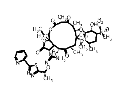 CC[C@@H]1OC(=O)[C@H](C)C(=O)[C@H](C)[C@@H](O[C@@H]2O[C@H](C)C[C@H]([N+](C)(C)[O-])[C@H]2O)[C@](C)(OC)C[C@@H](C)C(=O)[C@H](C)[C@H]2[C@H](/C(N)=N/O[C@@H](C)c3nnc(-c4ccccn4)s3)C(=O)O[C@@]21C